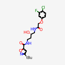 CC(C)(C)c1cc(C(=O)NCC[C@H](O)CNC(=O)COc2ccc(Cl)c(F)c2)on1